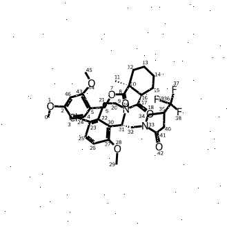 COc1ccc(COC(=O)[C@@]2(C)CCCC[C@H]2C(=O)N2CCc3c(Cl)ccc(OC)c3[C@H]2CN2CC(C(F)(F)F)CC2=O)c(OC)c1